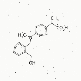 CC(C(=O)O)c1ccc(N(C)Cc2ccccc2CO)cc1